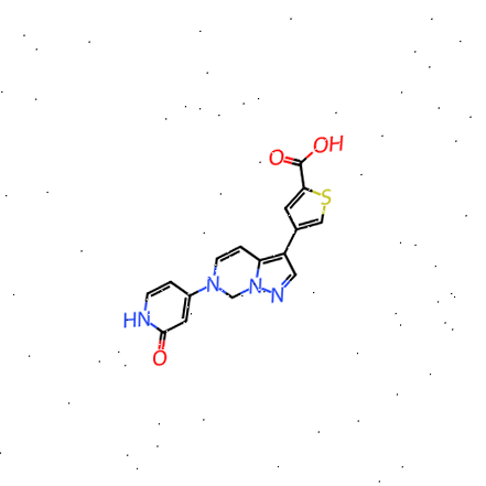 O=C(O)c1cc(-c2cnn3c2C=CN(c2cc[nH]c(=O)c2)C3)cs1